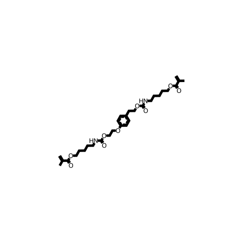 C=C(C)C(=O)OCCCCCNC(=O)OCCOc1ccc(CCOC(=O)NCCCCCOC(=O)C(=C)C)cc1